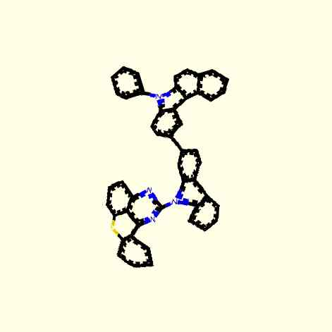 c1ccc(-n2c3ccc(-c4ccc5c6ccccc6n(-c6nc7c8c(cccc8n6)Sc6ccccc6-7)c5c4)cc3c3c4ccccc4ccc32)cc1